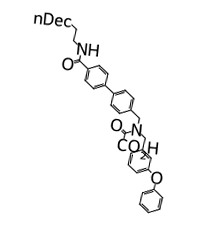 CCCCCCCCCCCCNC(=O)c1ccc(-c2ccc(CN(Cc3cccc(Oc4ccccc4)c3)C(=O)C(=O)O)cc2)cc1